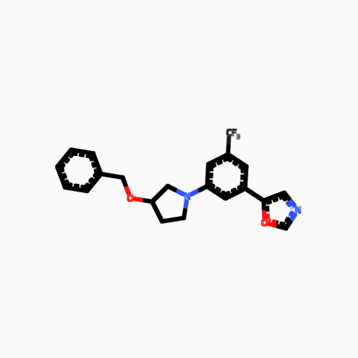 FC(F)(F)c1cc(-c2cnco2)cc(N2CCC(OCc3ccccc3)C2)c1